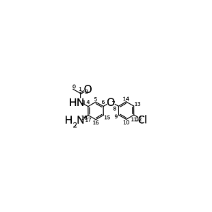 CC(=O)Nc1cc(Oc2ccc(Cl)cc2)ccc1N